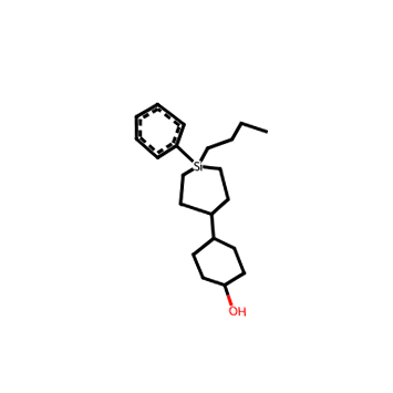 CCCC[Si]1(c2ccccc2)CCC(C2CCC(O)CC2)CC1